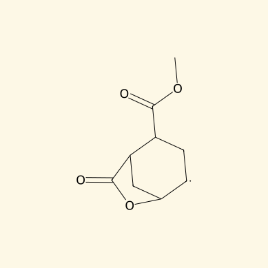 COC(=O)C1C[CH]C2CC1C(=O)O2